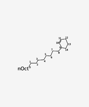 CCCCCCCCCCCCCCCCC1C=CCCC1